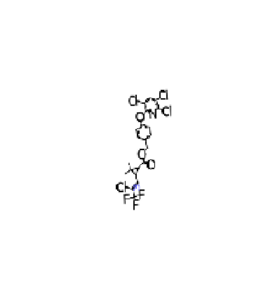 CC1(C)C(/C=C(\Cl)C(F)(F)F)C1C(=O)OCc1ccc(Oc2nc(Cl)c(Cl)cc2Cl)cc1